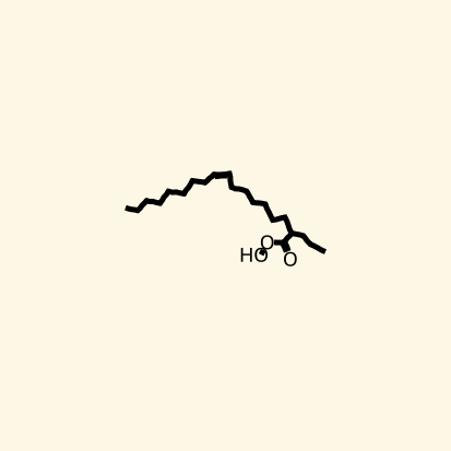 CCCCCCCC/C=C\CCCCCCC(CCC)C(=O)OO